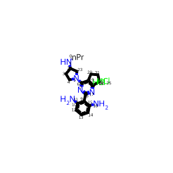 CCCNC1CCN(c2nc(-c3c(N)cccc3N)nc3c2CCC3)C1.Cl.Cl